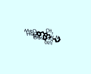 COc1ccc2c(c1)C(CC(=O)NCc1ccccn1)=C(C)/C2=C/c1cc(OC)c(B(O)O)c(OC)c1